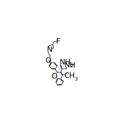 CC1=C(/C(C=N)=C/N)C(c2ccc(OCCN3CC(CF)C3)cc2)Oc2ccccc21